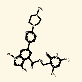 CCC(C)n1cc(C)c2c(C(=O)NCc3c(C)cc(N)[nH]c3=O)cc(-c3ccc(N4CCN(C)CC4)nc3)cc21